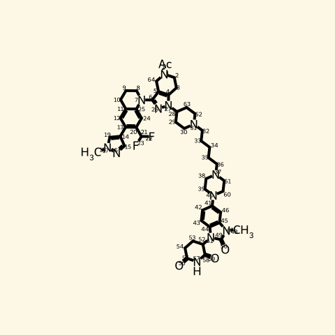 CC(=O)N1CCc2c(c(N3CCCc4cc(-c5cnn(C)c5)c(C(F)F)cc43)nn2C2CCN(CCCCCN3CCN(c4ccc5c(c4)n(C)c(=O)n5C4CCC(=O)NC4=O)CC3)CC2)C1